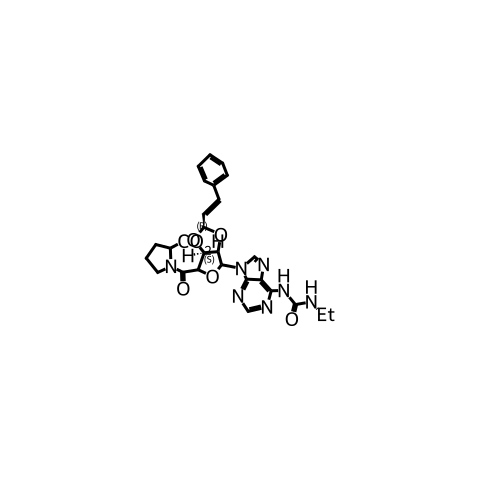 CCNC(=O)Nc1ncnc2c1ncn2C1OC(C(=O)N2CCCC2C(=O)O)[C@H]2O[C@@H](C=Cc3ccccc3)OC12